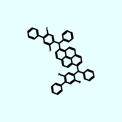 Fc1cc(N(c2ccccc2)c2ccc3ccc4c(N(c5ccccc5)c5cc(F)c(-c6ccccc6)cc5F)ccc5ccc2c3c54)c(F)cc1-c1ccccc1